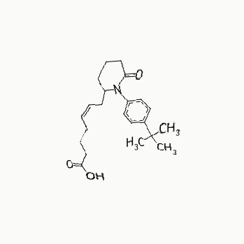 CC(C)(C)c1ccc(N2C(=O)CCCC2C/C=C\CCCC(=O)O)cc1